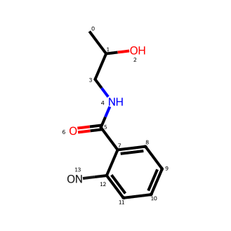 CC(O)CNC(=O)c1ccccc1N=O